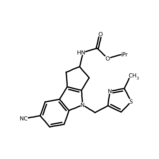 Cc1nc(Cn2c3c(c4cc(C#N)ccc42)CC(NC(=O)OC(C)C)C3)cs1